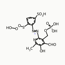 Cc1nc(/N=N/c2cc(S(=O)(=O)O)ccc2SOOO)c(COP(=O)(O)O)c(C=O)c1O